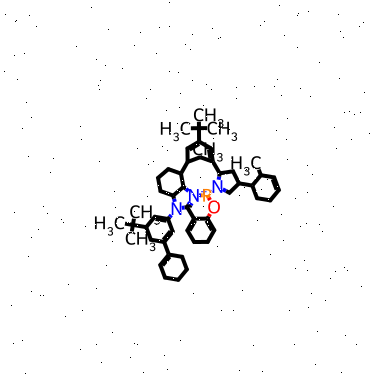 CC1C=CCCC1C1CC2C3=CC(C(C)(C)C)=CC(C3C)C3CCCC4C3[N+]3=C(C5=CCCC=C5OP3N2C1)N4C1=CC(C(C)(C)C)CC(C2=CCCCC2)=C1